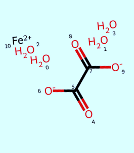 O.O.O.O.O=C([O-])C(=O)[O-].[Fe+2]